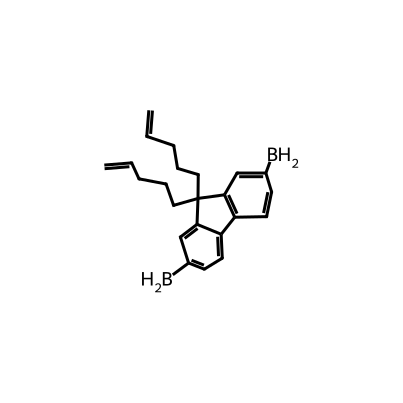 Bc1ccc2c(c1)C(CCCC=C)(CCCC=C)c1cc(B)ccc1-2